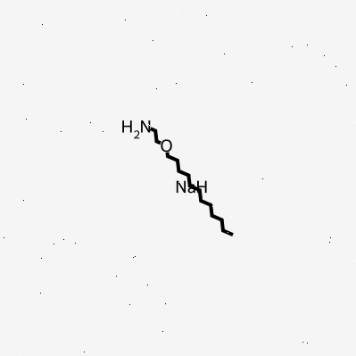 CCCCCCCCCCCCOCCN.[NaH]